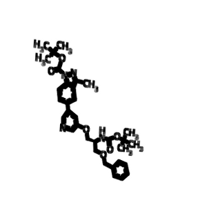 Cc1nn(C(=O)OC(C)(C)C)c2ccc(-c3cncc(OC[C@H](COCc4ccccc4)NC(=O)OC(C)(C)C)c3)cc12